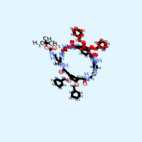 CC(C)(C)OC(=O)NCC[C@H]1CN2CCNC(=O)c3ccc(c(OCc4ccccc4)c3OCc3ccccc3)C(=O)NCCN(CCNC(=O)c3ccc(c(OCc4ccccc4)c3OCc3ccccc3)C(=O)NCC2)CCNC(=O)c2ccc(c(OCc3ccccc3)c2OCc2ccccc2)C(=O)N1